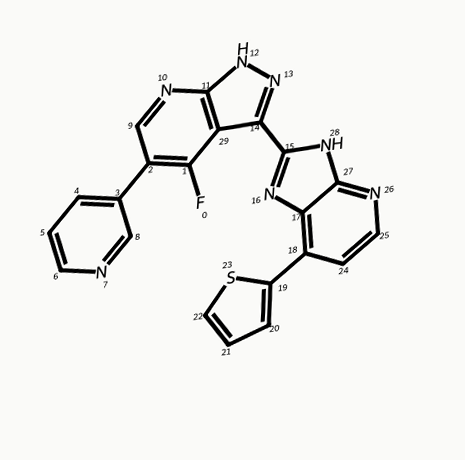 Fc1c(-c2cccnc2)cnc2[nH]nc(-c3nc4c(-c5cccs5)ccnc4[nH]3)c12